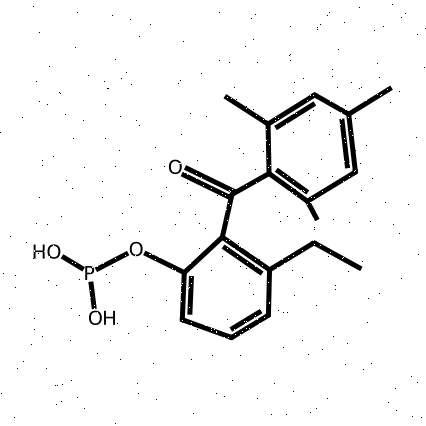 CCc1cccc(OP(O)O)c1C(=O)c1c(C)cc(C)cc1C